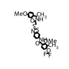 COc1ccc([C@H](C)NC(=O)CSc2nc3ccc(NC(=O)c4ccc(OC(F)F)c(C)c4OC)cc3s2)cc1